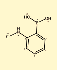 OB(O)c1ccccc1NCl